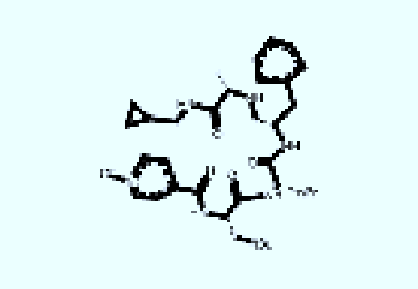 CCC[C@H](NC(=O)[C@H](CC(C)(C)C)NC(=O)c1cc[n+]([O-])cc1)C(=O)N[C@H](CN[C@@H](C)C(=O)NCC1CC1)Cc1ccccc1